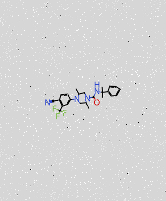 CC1CN(c2ccc(C#N)c(C(F)(F)F)c2)C(C)CN1C(=O)NC(C)(C)c1ccccc1